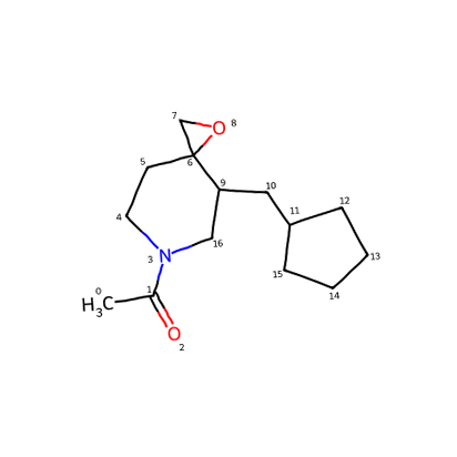 CC(=O)N1CCC2(CO2)C(CC2CCCC2)C1